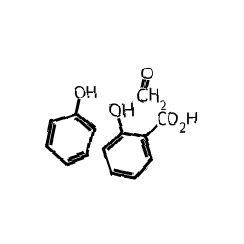 C=O.O=C(O)c1ccccc1O.Oc1ccccc1